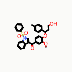 COc1cc(C(=O)c2cn(S(=O)(=O)c3ccccc3)c3ccccc23)ccc1OC(CCO)c1ccc(C)cc1